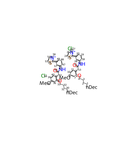 CCCCCCCCCCCCCCOc1cc(OC)ccc1CC(=O)Nc1cccc(-c2scc[n+]2C)c1.CCCCCCCCCCCCCCOc1cc(OC)ccc1CC(=O)Nc1cccc(-c2scc[n+]2C)c1.[Cl-].[Cl-]